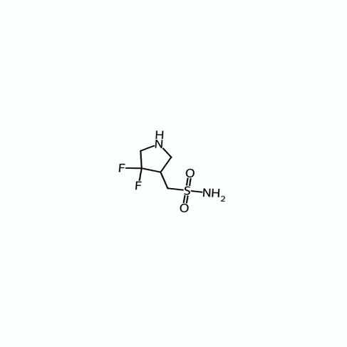 NS(=O)(=O)CC1CNCC1(F)F